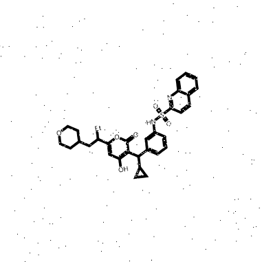 CCC(CC1CCOCC1)c1cc(O)c(C(c2cccc(NS(=O)(=O)c3ccc4ccccc4n3)c2)C2CC2)c(=O)o1